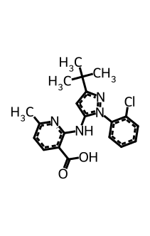 Cc1ccc(C(=O)O)c(Nc2cc(C(C)(C)C)nn2-c2ccccc2Cl)n1